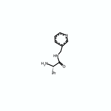 CC(C)[C@H](N)C(=O)NCc1cccnc1